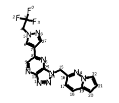 FC(F)(F)Cn1cc(-c2cnc3nnn(Cc4ccc5cccn5n4)c3n2)cn1